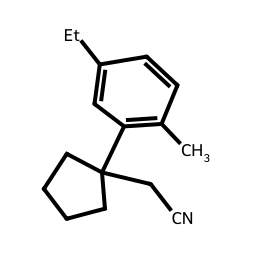 CCc1ccc(C)c(C2(CC#N)CCCC2)c1